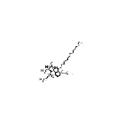 CCCCCCCCC=CCCCCCc1c(OCC)cccc1C1NC(=O)NC(C)=C1C(=O)OCC